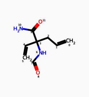 C=CCC(C=C)(N[C]=O)C(N)=O